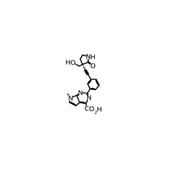 Cn1ccc2c(C(=O)O)nc(-c3cccc(C#C[C@@]4(CO)CCNC4=O)c3)nc21